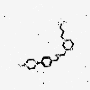 CC(C)CCCN1CCO[C@@H](CNCc2ccc(N3CCN(C(C)C)CC3)cc2)C1